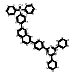 O=P(c1ccccc1)(c1ccccc1)c1ccc(-c2ccc3ccc(-c4ccc(-c5nc(-c6ccccc6)nc(-c6ccccc6)n5)cc4)cc3c2)cc1